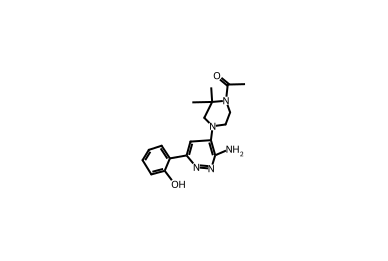 CC(=O)N1CCN(c2cc(-c3ccccc3O)nnc2N)CC1(C)C